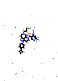 Nc1cc(C(F)(F)F)ncc1C(=O)N1CCc2c3c(nn2-c2ccc(C4CCC4)cc2)CCN(C(=O)C=CCl)CC31